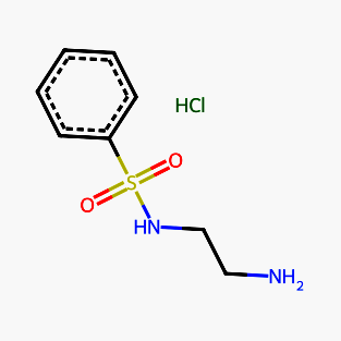 Cl.NCCNS(=O)(=O)c1ccccc1